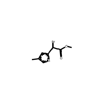 COC(=O)C(Br)c1cc(C)cs1